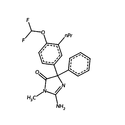 CCCc1cc(C2(c3ccccc3)N=C(N)N(C)C2=O)ccc1OC(F)F